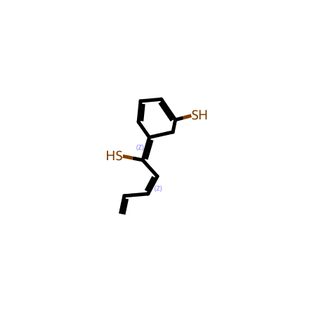 C=C/C=C\C(S)=C1\C=CC=C(S)C1